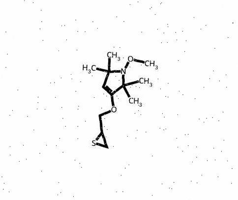 CON1C(C)(C)C=C(OCC2CS2)C1(C)C